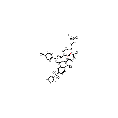 CCOc1ccc(S(=O)(=O)N2CCCC2)cc1/C(=N/Cc1ccc(Cl)cc1)N(Cc1ccc(Cl)cc1)C(=O)N1CCN(CCCS(C)(=O)=O)CC1